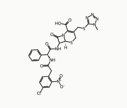 Cn1nnnc1SCC1=C(C(=O)O)N2C(=O)C(NC(=O)[C@@H](NC(=O)Cc3ccc(Cl)cc3[N+](=O)[O-])c3ccccc3)[C@@H]2SC1